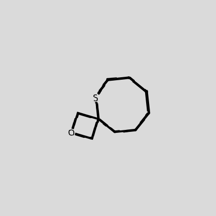 C1CCCC2(COC2)SCC1